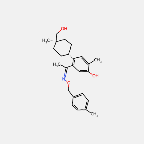 CC(=NOCc1ccc(C)cc1)c1cc(O)c(C)cc1[C@H]1CC[C@](C)(CO)CC1